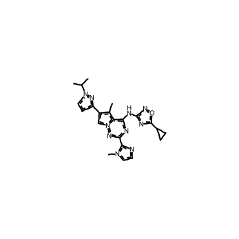 Cc1c(-c2ccn(C(C)C)n2)cn2nc(-c3nccn3C)nc(Nc3noc(C4CC4)n3)c12